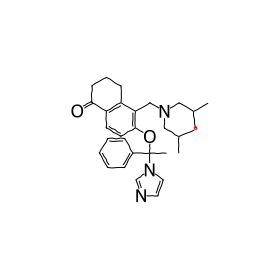 CC(C)CN(Cc1c(OC(C)(c2ccccc2)n2ccnc2)ccc2c1CCCC2=O)CC(C)C